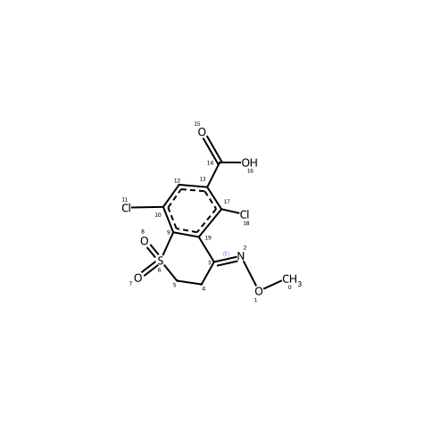 CO/N=C1\CCS(=O)(=O)c2c(Cl)cc(C(=O)O)c(Cl)c21